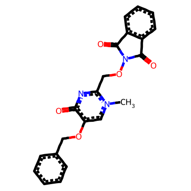 Cn1cc(OCc2ccccc2)c(=O)nc1CON1C(=O)c2ccccc2C1=O